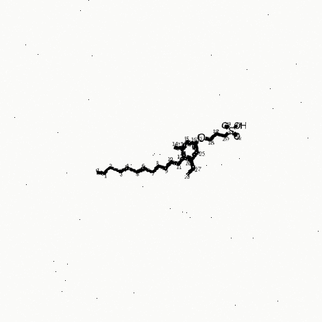 CCCCCCCCCCCCc1c(C)cc(OCCCS(=O)(=O)O)cc1CC